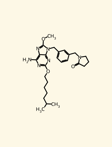 COc1nc2c(N)nc(OCCCCCC(C)C)nc2n1Cc1cccc(CN2CCCC2=O)c1